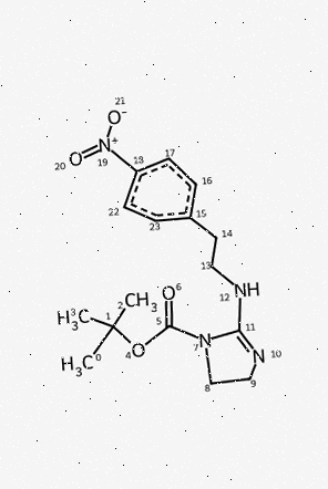 CC(C)(C)OC(=O)N1CCN=C1NCCc1ccc([N+](=O)[O-])cc1